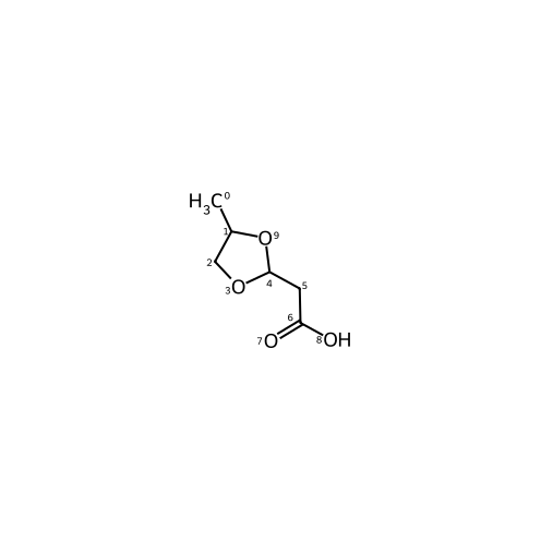 CC1COC(CC(=O)O)O1